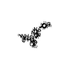 CCNC(=O)OCC1OC(n2cnc3c(SCc4ccc(OC)cc4)ncnc32)C2OC(C)(C)OC12